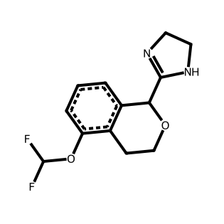 FC(F)Oc1cccc2c1CCOC2C1=NCCN1